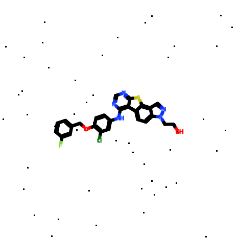 OCCn1ncc2c3sc4ncnc(Nc5ccc(OCc6cccc(F)c6)c(Cl)c5)c4c3ccc21